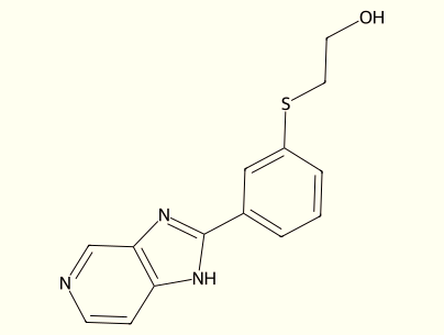 OCCSc1cccc(-c2nc3cnccc3[nH]2)c1